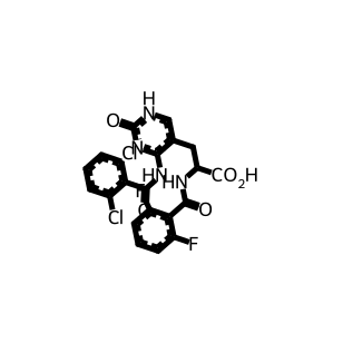 O=C(NC(Cc1c[nH]c(=O)nc1NC(=O)c1c(Cl)cccc1Cl)C(=O)O)c1c(F)cccc1F